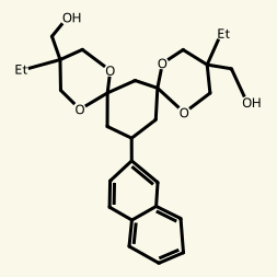 CCC1(CO)COC2(CC(c3ccc4ccccc4c3)CC3(C2)OCC(CC)(CO)CO3)OC1